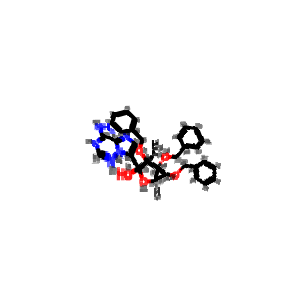 C[C@]1(OCc2ccccc2)C(O)(c2cnc3c(N)ncnn23)O[C@@H]2C(OCc3ccccc3)[C@@]21OCc1ccccc1